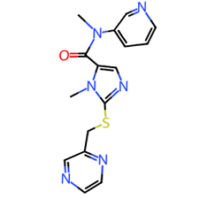 CN(C(=O)c1cnc(SCc2cnccn2)n1C)c1cccnc1